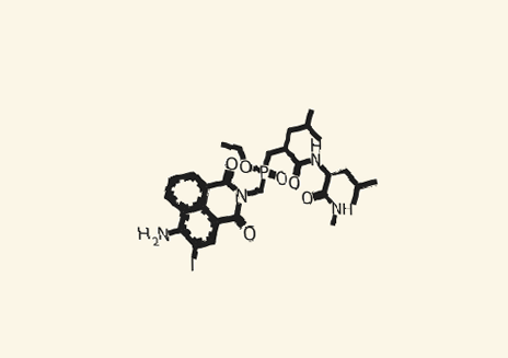 CCOP(=O)(CC(CC(C)C)C(=O)N[C@@H](CC(C)C)C(=O)NC)CN1C(=O)c2cccc3c(N)c(I)cc(c23)C1=O